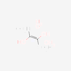 O.O.O=C(O)/C(O)=C(\O)C(=O)O